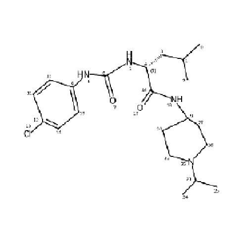 CC(C)C[C@@H](NC(=O)Nc1ccc(Cl)cc1)C(=O)NC1CCN(C(C)C)CC1